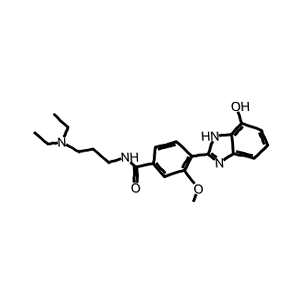 CCN(CC)CCCNC(=O)c1ccc(-c2nc3cccc(O)c3[nH]2)c(OC)c1